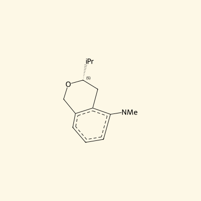 CNc1cccc2c1C[C@@H](C(C)C)OC2